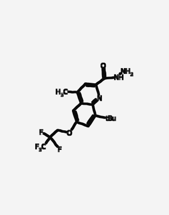 Cc1cc(C(=O)NN)nc2c(C(C)(C)C)cc(OCC(F)(F)C(F)(F)F)cc12